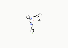 O=C(Cc1cc(C(F)(F)F)cc(C(F)(F)F)c1)N[C@]1(c2ccccc2)CC[C@@H](N2CCC(c3ccc(F)cc3)CC2)CC1